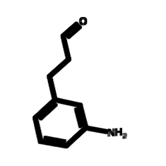 Nc1cccc(CCC=O)c1